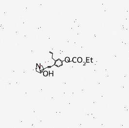 C=CCc1cc(OCC(=O)OCC)ccc1C#CC1(O)CN2CCC1CC2